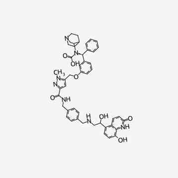 Cn1nc(C(=O)NCc2ccc(CNCC(O)c3ccc(O)c4[nH]c(=O)ccc34)cc2)cc1COc1cccc([C@H](c2ccccc2)N(C(=O)O)C2CN3CCC2CC3)c1